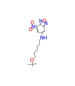 CC(C)(C)OCCCCCCNc1cc([N+](=O)[O-])c2nonc2c1